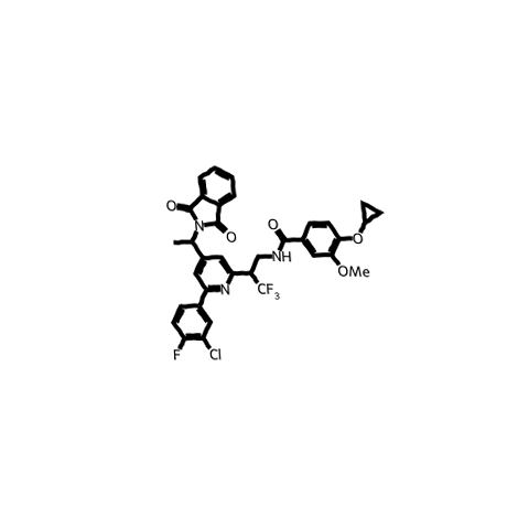 COc1cc(C(=O)NCC(c2cc(C(C)N3C(=O)c4ccccc4C3=O)cc(-c3ccc(F)c(Cl)c3)n2)C(F)(F)F)ccc1OC1CC1